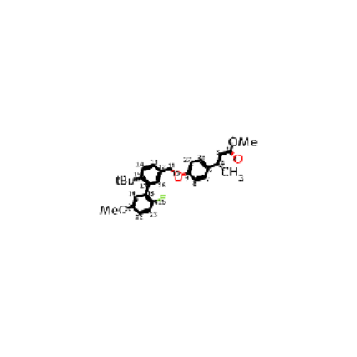 COC(=O)C[C@H](C)c1ccc(OCc2ccc(C(C)(C)C)c(-c3cc(OC)ccc3F)c2)cc1